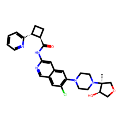 C[C@]1(N2CCN(c3cc4cc(NC(=O)[C@@H]5CC[C@H]5c5ccccn5)ncc4cc3Cl)CC2)COC[C@H]1O